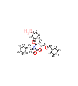 Bc1ccc(C[C@@H](CCOCc2ccccc2)C(=O)N2C(=O)OC[C@@H]2Cc2ccccc2)cc1